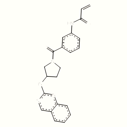 C=CC(=O)Nc1cccc(C(=O)N2CCC(Nc3ncc4ccccc4n3)C2)c1